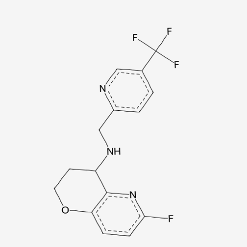 Fc1ccc2c(n1)C(NCc1ccc(C(F)(F)F)cn1)CCO2